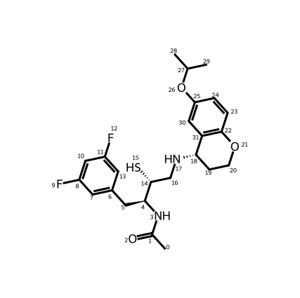 CC(=O)N[C@@H](Cc1cc(F)cc(F)c1)[C@H](S)CN[C@H]1CCOc2ccc(OC(C)C)cc21